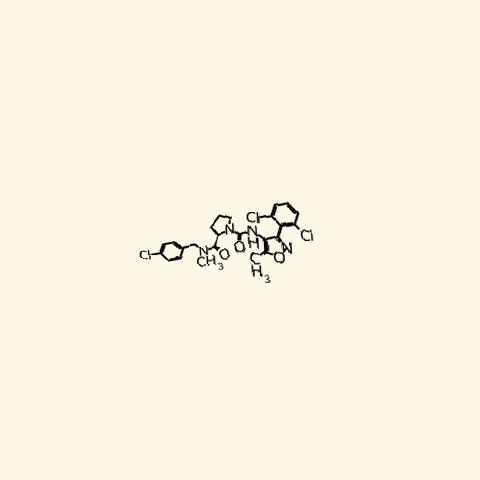 Cc1onc(-c2c(Cl)cccc2Cl)c1NC(=O)N1CCC[C@@H]1C(=O)N(C)Cc1ccc(Cl)cc1